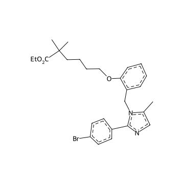 CCOC(=O)C(C)(C)CCCCOc1ccccc1Cn1c(C)cnc1-c1ccc(Br)cc1